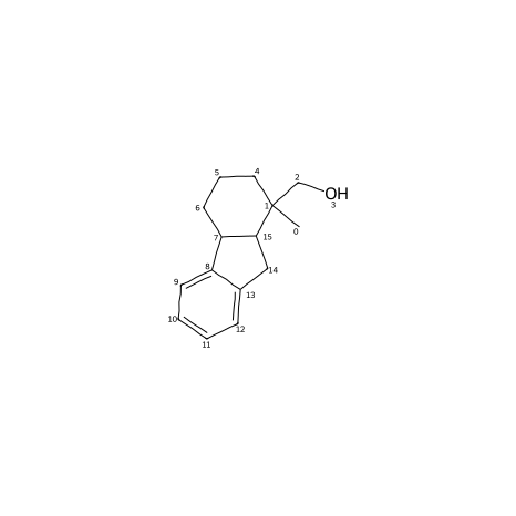 CC1(CO)CCCC2c3ccccc3CC21